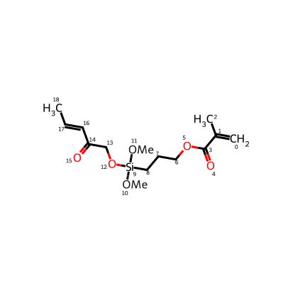 C=C(C)C(=O)OCCC[Si](OC)(OC)OCC(=O)C=CC